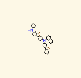 c1ccc(Nc2ccc3c(c2)sc2cc(N(c4ccc5c(c4)sc4ccccc45)c4cccc5ccccc45)ccc23)cc1